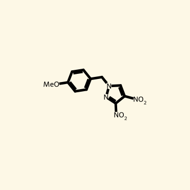 COc1ccc(Cn2cc([N+](=O)[O-])c([N+](=O)[O-])n2)cc1